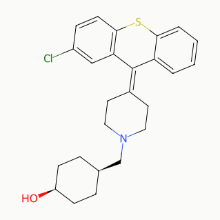 O[C@H]1CC[C@@H](CN2CCC(=C3c4ccccc4Sc4ccc(Cl)cc43)CC2)CC1